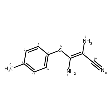 Cc1ccc(SC(N)=C(N)C#N)cc1